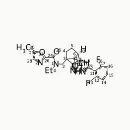 CCN(CC12CC[C@@H](/C(=C/C(=N)c3c(F)cccc3F)C1=N)C2(C)C)C(=O)c1ncc(C)o1